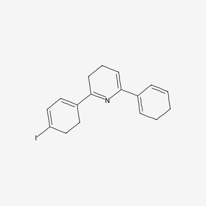 IC1=CC=C(C2=NC(C3=CCCC=C3)=CCC2)CC1